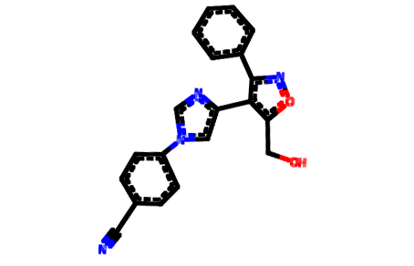 N#Cc1ccc(-n2cnc(-c3c(-c4ccccc4)noc3CO)c2)cc1